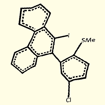 CSc1ccc(Cl)cc1-c1c(I)c2ccccc2c2ccccc12